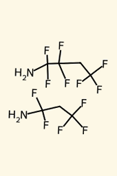 NC(F)(F)C(F)(F)CC(F)(F)F.NC(F)(F)CC(F)(F)F